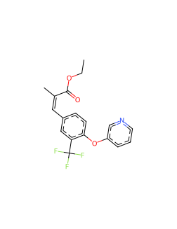 CCOC(=O)C(C)=Cc1ccc(Oc2cccnc2)c(C(F)(F)F)c1